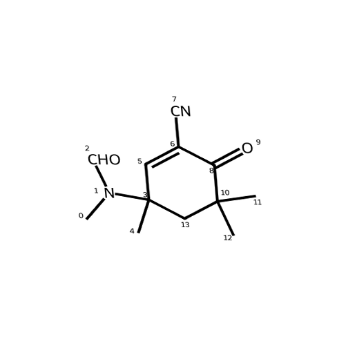 CN(C=O)C1(C)C=C(C#N)C(=O)C(C)(C)C1